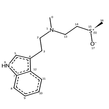 CN(CCc1c[nH]c2ccccc12)CC[S@@+](C)[O-]